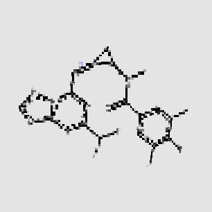 Cc1cc(C(=O)N(C)C2C/C2=C/c2cc(C(F)F)nc3ncnn23)cc(F)c1F